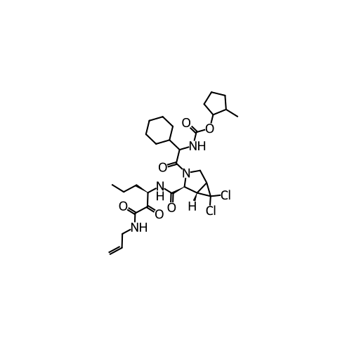 C=CCNC(=O)C(=O)[C@@H](CCC)NC(=O)[C@@H]1[C@@H]2C(CN1C(=O)C(NC(=O)OC1CCCC1C)C1CCCCC1)C2(Cl)Cl